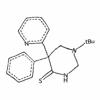 CC(C)(C)N1CNC(=S)C(c2ccccc2)(c2ccccn2)C1